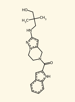 CC(C)(CO)CNc1cc2n(n1)CCN(C(=O)c1cc3ccccc3[nH]1)C2